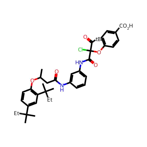 CCC(C)(C)c1ccc(OC(C)CC(=O)Nc2cccc(NC(=O)C(Cl)(Oc3ccc(C(=O)O)cc3)C(=O)C(C)(C)C)c2)c(C(C)(C)CC)c1